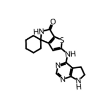 O=C1NC2(CCCCC2)c2cc(Nc3ncnc4c3CCN4)sc21